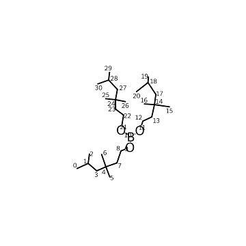 CC(C)CC(C)(C)CCOB(OCCC(C)(C)CC(C)C)OCCC(C)(C)CC(C)C